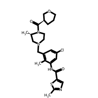 Cc1ncc(C(=O)Nc2cc(Cl)cc(CN3CCN(C(=O)[C@@H]4CCCOC4)[C@@H](C)C3)c2C)s1